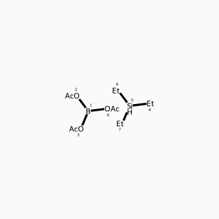 CC(=O)OB(OC(C)=O)OC(C)=O.CC[SiH](CC)CC